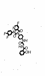 O=C(CNC(=O)c1ccccc1O)N[C@H]1CC[C@@H](n2c(=O)c3cc(F)cnc3n(-c3ccc(F)c(F)c3)c2=O)CC1